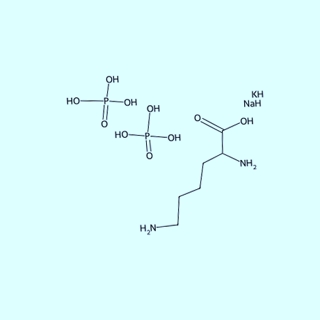 NCCCCC(N)C(=O)O.O=P(O)(O)O.O=P(O)(O)O.[KH].[NaH]